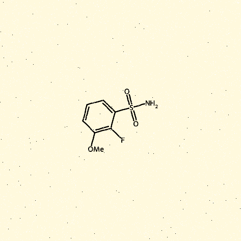 COc1cccc(S(N)(=O)=O)c1F